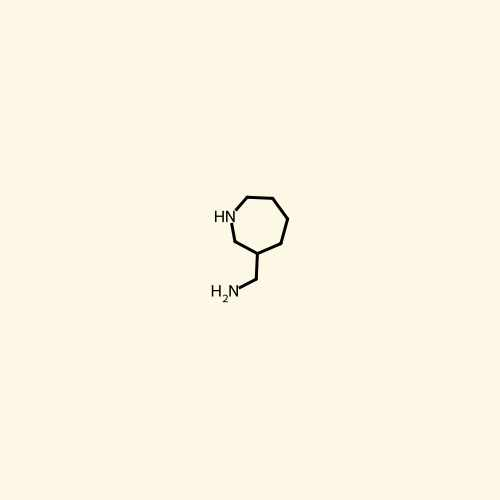 NCC1CCCCNC1